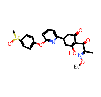 CCON=C(C)C(=O)C1=C(O)CC(c2cccc(Oc3ccc([S+](C)[O-])cc3)n2)CC1=O